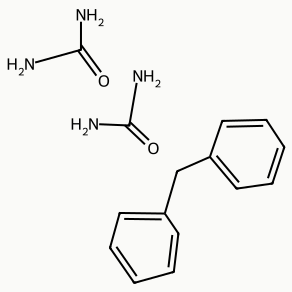 NC(N)=O.NC(N)=O.c1ccc(Cc2ccccc2)cc1